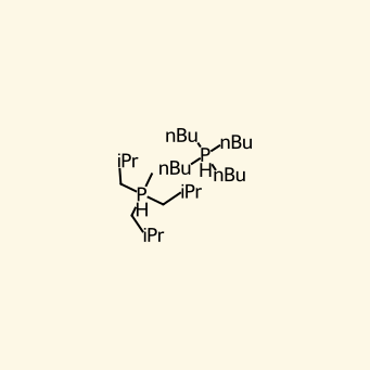 CC(C)C[PH](C)(CC(C)C)CC(C)C.CCCC[PH](CCCC)(CCCC)CCCC